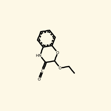 CCOC1Oc2ccccc2NC1=C=O